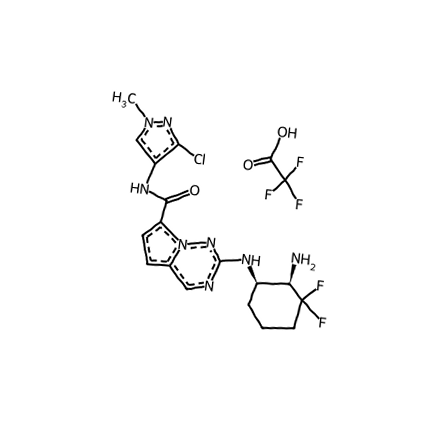 Cn1cc(NC(=O)c2ccc3cnc(N[C@@H]4CCCC(F)(F)[C@@H]4N)nn23)c(Cl)n1.O=C(O)C(F)(F)F